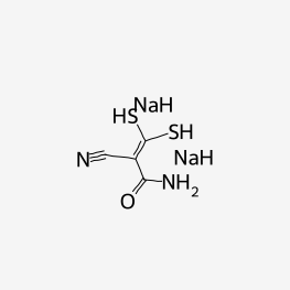 N#CC(C(N)=O)=C(S)S.[NaH].[NaH]